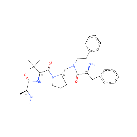 CN[C@@H](C)C(=O)N[C@H](C(=O)N1CCC[C@H]1CN(CCc1ccccc1)C(=O)[C@@H](N)Cc1ccccc1)C(C)(C)C